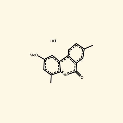 COc1cc(C)c2[nH]c(=O)c3cc(C)ccc3c2c1.Cl